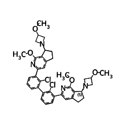 COc1nc(-c2cccc(-c3cccc(-c4cc5c(c(OC)n4)[C@@H](N4CC(OC)C4)CC5)c3Cl)c2Cl)cc2c1C(N1CC(OC)C1)CC2